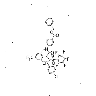 O=C(OCc1ccccc1)c1ccc(N(Cc2cc(C(F)(F)F)cc(C(F)(F)F)c2)C(=O)CN(Cc2ccc(Cl)cc2)S(=O)(=O)c2c(F)c(F)c(F)c(F)c2F)cc1